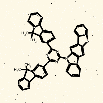 CC1(C)c2ccccc2-c2ccc(-c3nc(-c4ccc5c(c4)C(C)(C)c4ccccc4-5)nc(-n4c5ccccc5c5cc6sc7ccccc7c6cc54)n3)cc21